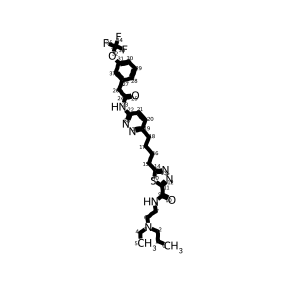 CCCN(CC)CCNC(=O)c1nnc(CCCCc2ccc(NC(=O)Cc3cccc(OC(F)(F)F)c3)nn2)s1